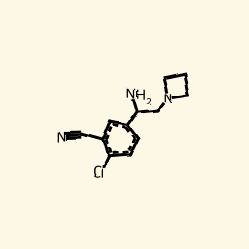 N#Cc1cc(C(N)CN2CCC2)ccc1Cl